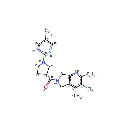 Cc1nc2c(c(C)c1Cl)CN(C(=O)[C@@H]1CCN(c3ncc(C(F)(F)F)cn3)C1)C2